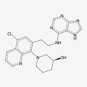 O[C@H]1CCCN(c2c(CCNc3ncnc4nc[nH]c34)cc(Cl)c3cccnc23)C1